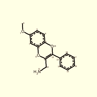 COc1ccc2c(c1)OC(CN)=C(c1ccccc1)O2